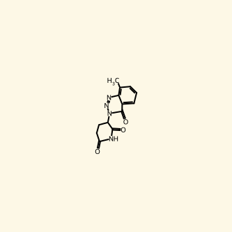 Cc1cccc2c(=O)n(C3CCC(=O)NC3=O)nnc12